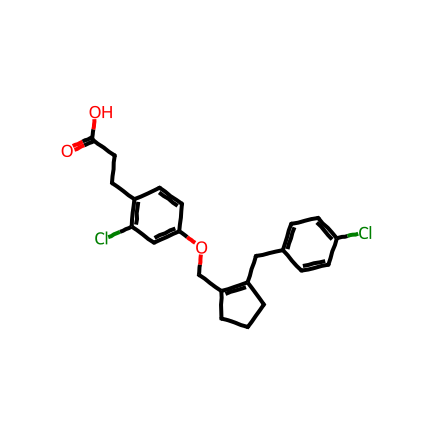 O=C(O)CCc1ccc(OCC2=C(Cc3ccc(Cl)cc3)CCC2)cc1Cl